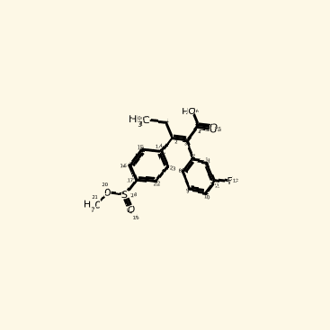 CC/C(=C(\C(=O)O)c1cccc(F)c1)c1ccc(S(=O)OC)cc1